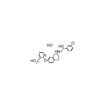 Cl.O=C(O)c1cccnc1Oc1ccc2c(c1)C[C@@H](NC[C@H](O)c1cccc(Cl)c1)CC2